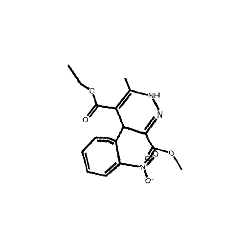 CCOC(=O)C1=C(C)NN=C(C(=O)OC)C1c1ccccc1[N+](=O)[O-]